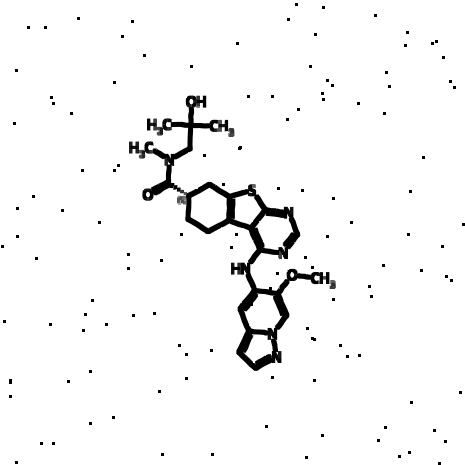 COc1cn2nccc2cc1Nc1ncnc2sc3c(c12)CC[C@H](C(=O)N(C)CC(C)(C)O)C3